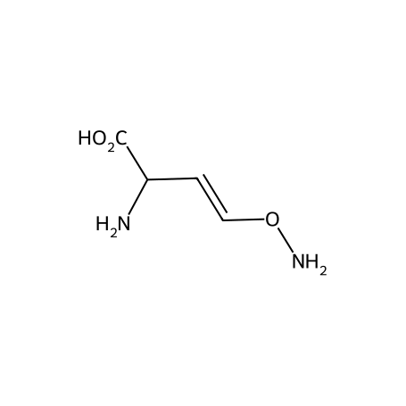 NO/C=C/C(N)C(=O)O